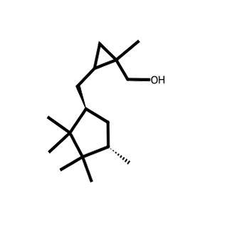 C[C@H]1C[C@H](CC2CC2(C)CO)C(C)(C)C1(C)C